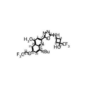 Cc1cc(-c2nnc(NC3CC(O)(C(F)(F)F)C3)o2)nc2c(C(C)(C)C)cc(OCC(F)(F)F)cc12